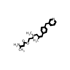 CC(N)=CC(=O)OCCN(C)CC(C)=Cc1ccc(Cc2cccnc2)cc1